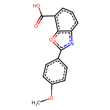 COc1ccc(-c2nc3cccc(C(=O)O)c3o2)cc1